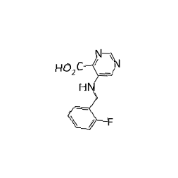 O=C(O)c1ncncc1NCc1ccccc1F